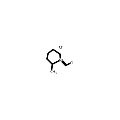 CC1CCCC[N+]1=CCl.[Cl-]